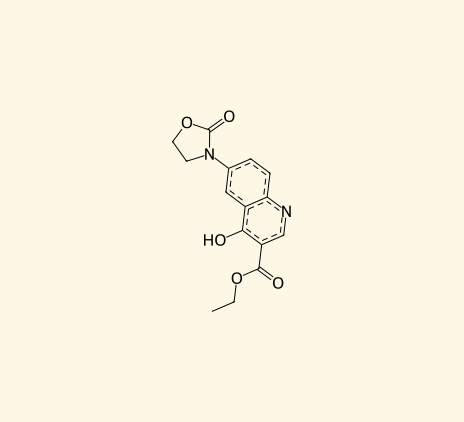 CCOC(=O)c1cnc2ccc(N3CCOC3=O)cc2c1O